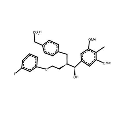 COc1cc([C@@H](O)[C@@H](CCOc2cccc(F)c2)Cc2ccc(CC(=O)O)cc2)cc(OC)c1C